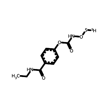 [3H]SONC(=O)Oc1ccc(C(=O)NCC)cc1